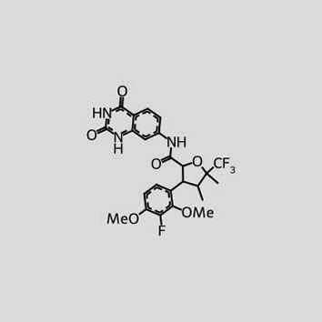 COc1ccc(C2C(C(=O)Nc3ccc4c(=O)[nH]c(=O)[nH]c4c3)OC(C)(C(F)(F)F)C2C)c(OC)c1F